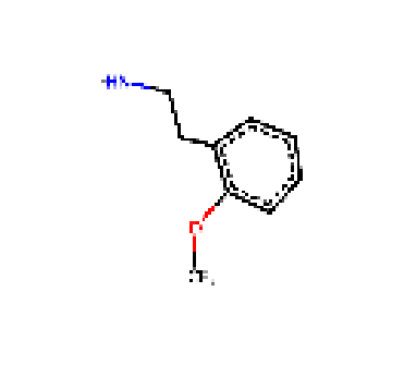 [NH]CCc1ccccc1OC(F)(F)F